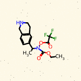 CCOC(=O)N(OC(=O)C(F)(F)F)C(C)c1ccc2c(c1)CCNC2